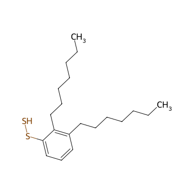 CCCCCCCc1cccc(SS)c1CCCCCCC